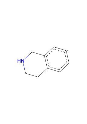 [c]1ccc2c(c1)CNCC2